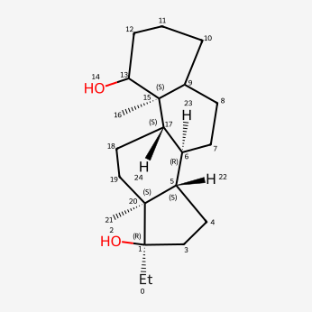 CC[C@@]1(O)CC[C@H]2[C@@H]3CCC4CCCC(O)[C@]4(C)[C@H]3CC[C@@]21C